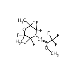 CO[C](=[Cf][N]1C(F)(F)C(C)(F)OC(C)(F)C1(F)F)C(F)(F)F